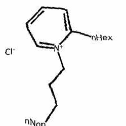 CCCCCCCCCCCC[n+]1ccccc1CCCCCC.[Cl-]